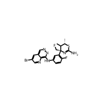 CC1[C@H](C)SC(N)=N[C@]1(CF)c1cc(Nc2nncc3cc(Br)cnc23)ccc1F